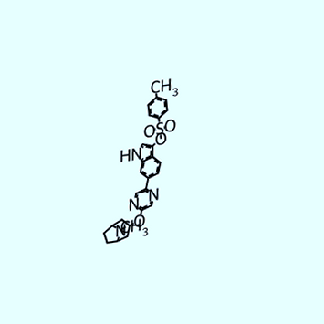 Cc1ccc(S(=O)(=O)Oc2c[nH]c3cc(-c4cnc(OC5CC6CCC(C5)N6C)cn4)ccc23)cc1